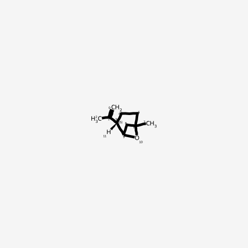 C=C(C)[C@@H]1CCC2(C)CC1O2